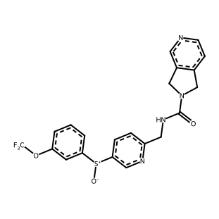 O=C(NCc1ccc([S+]([O-])c2cccc(OC(F)(F)F)c2)cn1)N1Cc2ccncc2C1